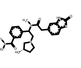 CCN(CC)C(=O)c1cccc(C(CN2CC[C@H](O)C2)N(C)C(=O)Cc2ccc3sc(=O)[nH]c3c2)c1